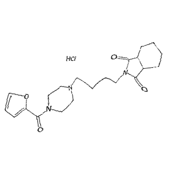 Cl.O=C(c1ccco1)N1CCN(CCCCN2C(=O)C3CCCCC3C2=O)CC1